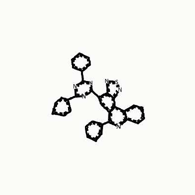 c1ccc(-c2nc(-c3ccccc3)nc(-c3cc4c(-c5ccccc5)nc5ccccc5c4c4nsnc34)n2)cc1